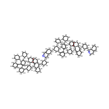 c1ccc(-c2c(-c3ccccc3)c(-c3ccccc3)c(-c3cccc(-c4c5ccccc5c(-c5cccc(-c6cc7cc(-c8ccc(-c9c(-c%10ccccc%10)c(-c%10ccccc%10)c(-c%10ccccc%10)c(-c%10cccc(-c%11c%12ccccc%12c(-c%12cccc(-c%13nccc%14ccccc%13%14)c%12)c%12ccccc%11%12)c%10)c9-c9ccccc9)cc8)ccc7cn6)c5)c5ccccc45)c3)c(-c3ccccc3)c2-c2ccccc2)cc1